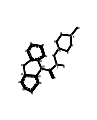 C=C(N(C)CN1CCN(C)CC1)N1c2ccccc2Cc2ccccc21